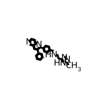 Cc1nnc(CCNCc2ccc(-c3nc4ccncc4cc3-c3ccccc3)cc2)[nH]1